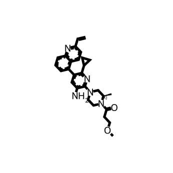 C=Cc1ccc2c(-c3cc(N)c(N4CCN(C(=O)CCOC)[C@H](C)C4)nc3C3CC3)cccc2n1